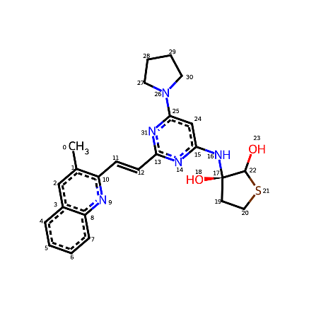 Cc1cc2ccccc2nc1/C=C/c1nc(N[C@@]2(O)CCSC2O)cc(N2CCCC2)n1